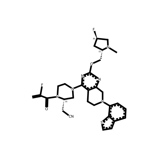 C=C(F)C(=O)N1CCN(c2nc(OC[C@@H]3C[C@@H](F)CN3C)nc3c2CCN(c2cccc4ccsc24)C3)C[C@@H]1CC#N